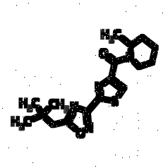 CC1CCCCN1C(=O)c1csc(-c2noc(CC(C)(C)C)n2)n1